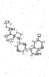 C[C@@]1(C(=O)NCC(F)(F)F)CCN1c1cncc(-c2c[nH]c3ncc(Cl)cc23)n1